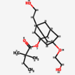 CCC(C)(C)C(=O)OC12CC3CC(CCO)(CC(OCCO)(C3)C1)C2